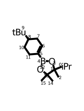 CC(C)C1(C)OB(C2=CCC(C(C)(C)C)CC2)OC1(C)C